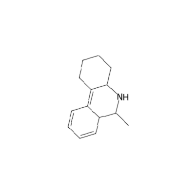 CC1NC2CCCCC2=C2C=CC=CC21